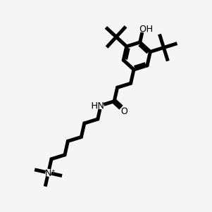 CC(C)(C)c1cc(CCC(=O)NCCCCCC[N+](C)(C)C)cc(C(C)(C)C)c1O